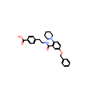 O=C(O)c1ccc(CCNC(=O)c2cc(OCc3ccccc3)ccc2N2CCCCC2)cc1